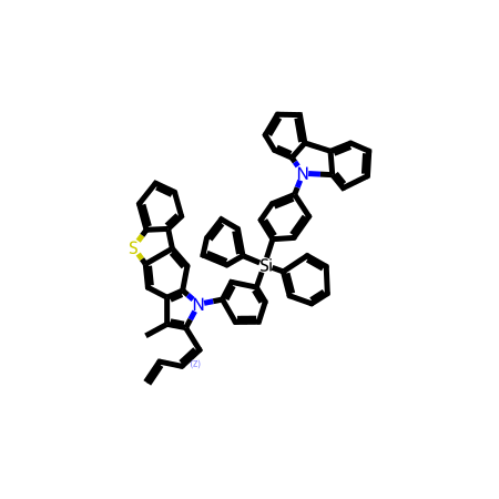 C=C/C=C\c1c(C)c2cc3sc4ccccc4c3cc2n1-c1cccc([Si](c2ccccc2)(c2ccccc2)c2ccc(-n3c4ccccc4c4ccccc43)cc2)c1